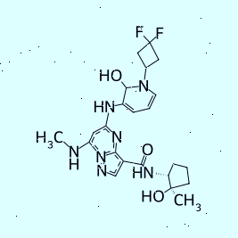 CNc1cc(NC2=CC=CN(C3CC(F)(F)C3)C2O)nc2c(C(=O)N[C@@H]3CCC[C@@]3(C)O)cnn12